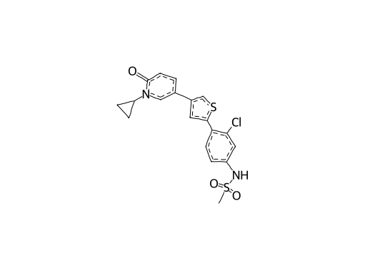 CS(=O)(=O)Nc1ccc(-c2cc(-c3ccc(=O)n(C4CC4)c3)cs2)c(Cl)c1